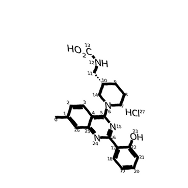 Cc1ccc2c(N3CCC[C@@H](CNC(=O)O)C3)nc(-c3ccccc3O)nc2c1.Cl